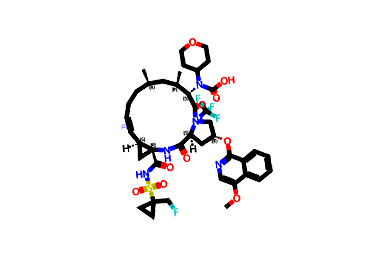 COc1cnc(O[C@@H]2C[C@H]3C(=O)N[C@]4(C(=O)NS(=O)(=O)C5(CF)CC5)C[C@H]4/C=C\CC[C@@H](C)C[C@@H](C)[C@H](N(C(=O)O)C4CCOCC4)C(=O)[N+]3(C(F)(F)F)C2)c2ccccc12